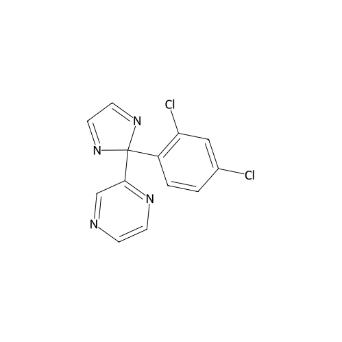 Clc1ccc(C2(c3cnccn3)N=CC=N2)c(Cl)c1